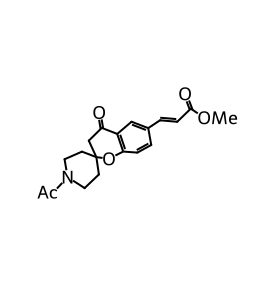 COC(=O)/C=C/c1ccc2c(c1)C(=O)CC1(CCN(C(C)=O)CC1)O2